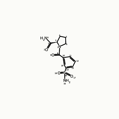 NC(=O)[C@H]1CCCN1C(=O)c1cccc(S(N)(=O)=O)c1